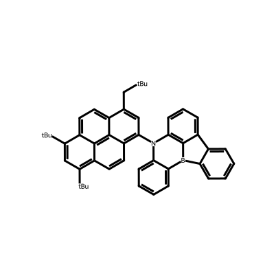 CC(C)(C)Cc1cc(N2c3ccccc3B3c4ccccc4-c4cccc2c43)c2ccc3c(C(C)(C)C)cc(C(C)(C)C)c4ccc1c2c43